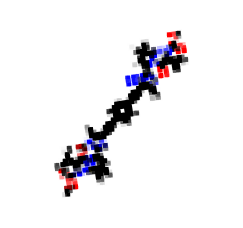 COC(=O)N[C@H](C(=O)N1CC(C)(C)C[C@H]1c1nc(C)c(C#Cc2ccc(C#Cc3[nH]c([C@@H]4CC(C)(C)CN4C(=O)[C@@H](NC(=O)OC)C(C)C)nc3C)cc2)[nH]1)C(C)C